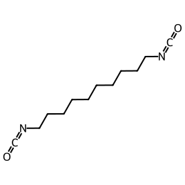 O=C=NCCCCCCCCCCN=C=O